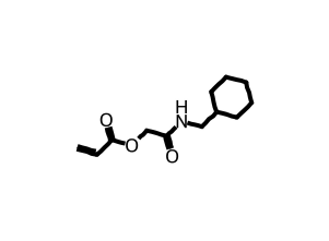 C=CC(=O)OCC(=O)NCC1CCCCC1